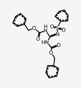 O=C(NC(=NS(=O)(=O)c1ccccc1)NC(=O)OCc1ccccc1)OCc1ccccc1